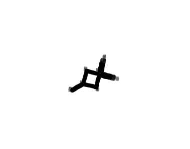 [CH2]C1CS(=O)(=O)C1